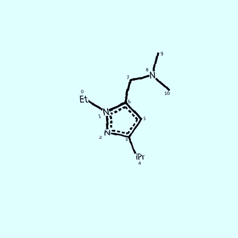 CCn1nc(C(C)C)cc1CN(C)C